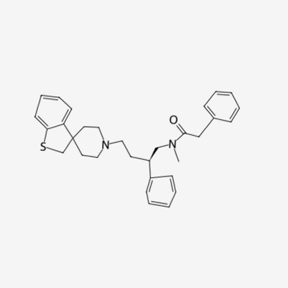 CN(C[C@H](CCN1CCC2(CC1)CSc1ccccc12)c1ccccc1)C(=O)Cc1ccccc1